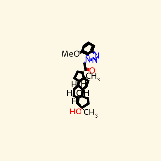 COc1cccc2nnn(CC(=O)[C@H]3CC[C@H]4[C@@H]5CC[C@@H]6C[C@](C)(O)CC[C@]6(C)[C@H]5CC[C@]34C)c12